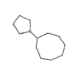 [CH]1CCCCCC(N2CCCC2)C1